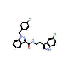 O=C(NCCc1c[nH]c2ccc(Cl)cc12)c1nn(Cc2ccc(Cl)cc2)c2ccccc12